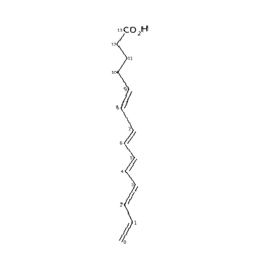 C=C/C=C/C=C/C=C/C=C/CCCC(=O)O